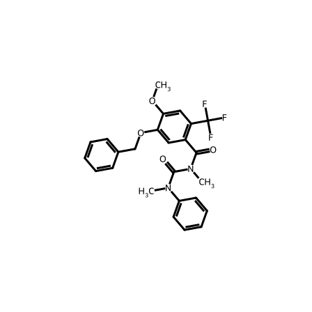 COc1cc(C(F)(F)F)c(C(=O)N(C)C(=O)N(C)c2ccccc2)cc1OCc1ccccc1